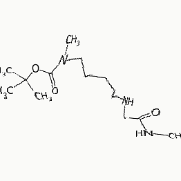 CNC(=O)CNCCCCN(C)C(=O)OC(C)(C)C